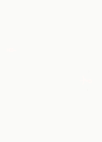 CCP(=O)(CC)CCCCCCCCCCCCO